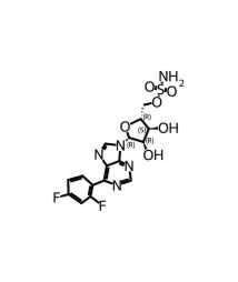 NS(=O)(=O)OC[C@H]1O[C@@H](n2cnc3c(-c4ccc(F)cc4F)ncnc32)[C@H](O)[C@@H]1O